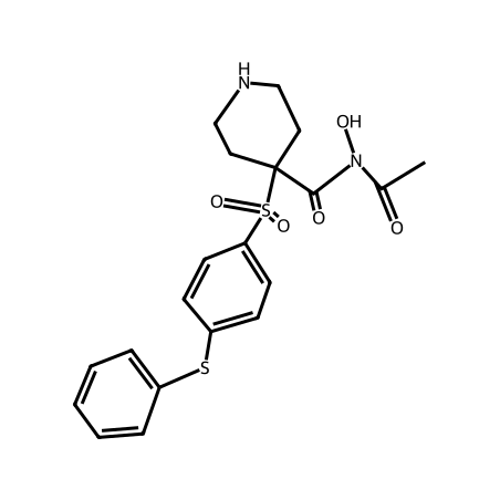 CC(=O)N(O)C(=O)C1(S(=O)(=O)c2ccc(Sc3ccccc3)cc2)CCNCC1